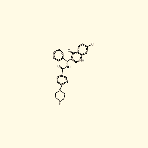 O=C(NC(c1ccccc1)c1c[nH]c2cc(Cl)ccc2c1=O)c1ccc(N2CCNCC2)nc1